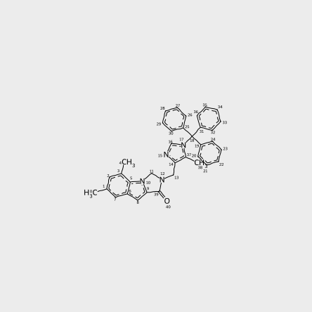 Cc1cc(C)c2c(c1)cc1n2CN(Cc2ncn(C(c3ccccc3)(c3ccccc3)c3ccccc3)c2C)C1=O